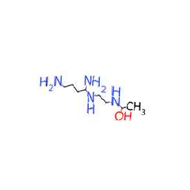 CC(O)NCCNC(N)CCCN